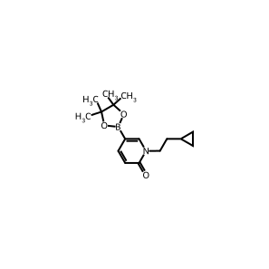 CC1(C)OB(c2ccc(=O)n(CCC3CC3)c2)OC1(C)C